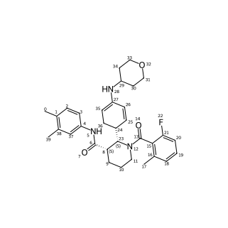 Cc1ccc(NC(=O)[C@H]2CCCN(C(=O)c3c(C)cccc3F)[C@H]2C2C=CC(NC3CCOCC3)=CC2)cc1C